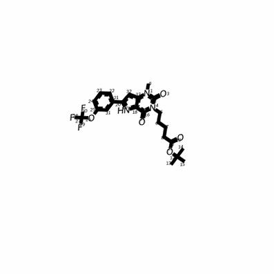 Cn1c(=O)n(CCCCC(=O)OC(C)(C)C)c(=O)c2[nH]c(-c3cccc(OC(F)(F)F)c3)cc21